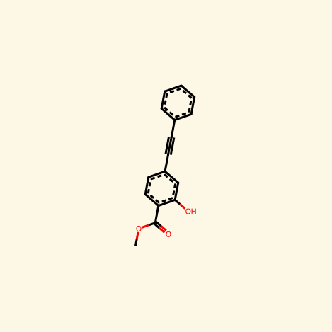 COC(=O)c1ccc(C#Cc2ccccc2)cc1O